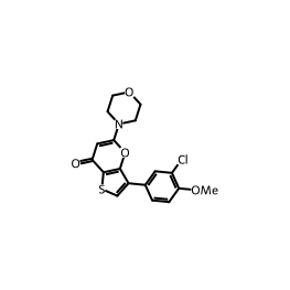 COc1ccc(-c2csc3c(=O)cc(N4CCOCC4)oc23)cc1Cl